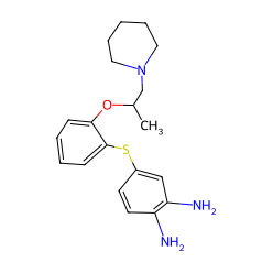 CC(CN1CCCCC1)Oc1ccccc1Sc1ccc(N)c(N)c1